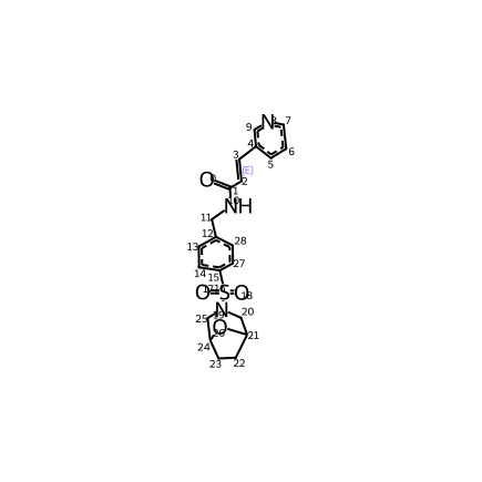 O=C(/C=C/c1cccnc1)NCc1ccc(S(=O)(=O)N2CC3CCC(C2)O3)cc1